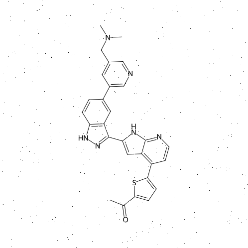 CC(=O)c1ccc(-c2ccnc3[nH]c(-c4n[nH]c5ccc(-c6cncc(CN(C)C)c6)cc45)cc23)s1